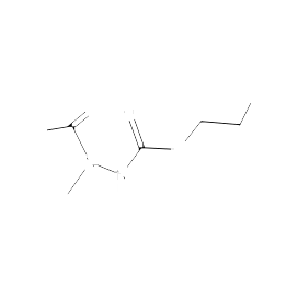 CCCOC(=O)NN(C)C(C)=O